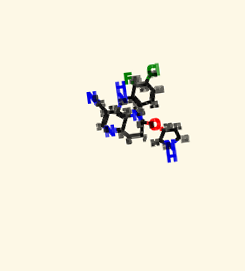 N#Cc1cnc2ccc(O[C@H]3CCNC3)nc2c1Nc1cccc(Cl)c1F